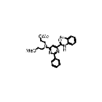 COCCN(CCOC)c1cc(C(=O)Nc2ccccc2C(C)=O)nc(-c2ccccc2)n1